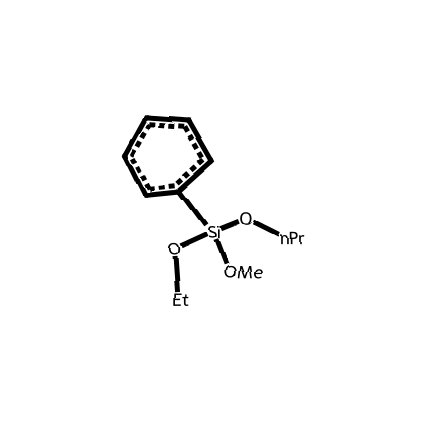 CCCO[Si](OC)(OCC)c1ccccc1